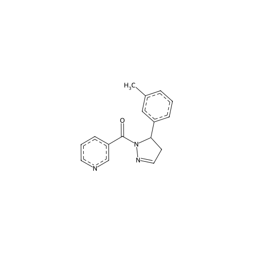 Cc1cccc(C2CC=NN2C(=O)c2cccnc2)c1